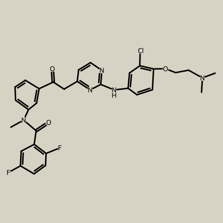 CN(C)CCOc1ccc(Nc2nccc(CC(=O)c3cccc(N(C)C(=O)c4cc(F)ccc4F)c3)n2)cc1Cl